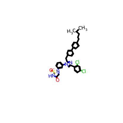 CC(C)CCCc1ccc(-c2ccc(Cc3nc(-c4ccc(Cl)cc4Cl)cn3-c3cccc(N4CC(=O)N[S+]4[O-])c3)cc2)cc1